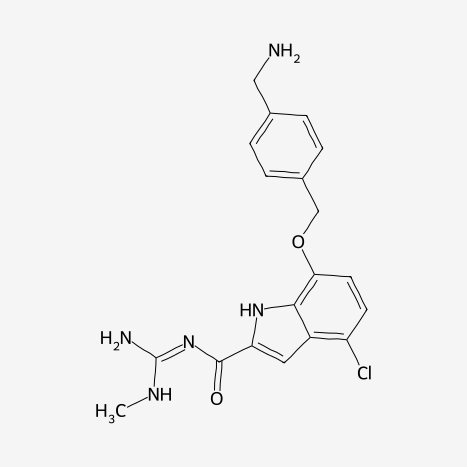 CNC(N)=NC(=O)c1cc2c(Cl)ccc(OCc3ccc(CN)cc3)c2[nH]1